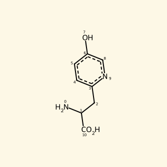 NC(Cc1ccc(O)cn1)C(=O)O